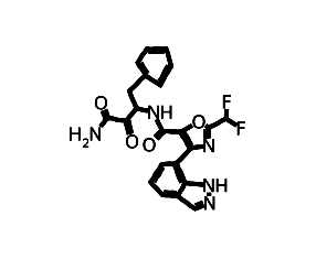 NC(=O)C(=O)C(Cc1ccccc1)NC(=O)c1oc(C(F)F)nc1-c1cccc2cn[nH]c12